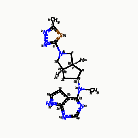 Cc1nnc(N2C[C@H]3C[C@H](N(C)c4ncnc5[nH]ccc45)C[C@H]3C2)s1